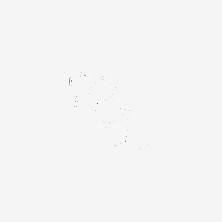 CCOC1CCN(Cc2c(C3CC3)cc(C)c3[nH]ccc(=O)c23)CC1